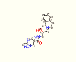 C=C/N=C\C(=C/N)C(=O)NCC(O)CN1CCc2ccccc2C1